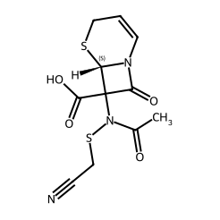 CC(=O)N(SCC#N)C1(C(=O)O)C(=O)N2C=CCS[C@H]21